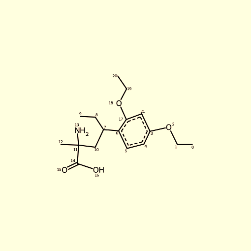 CCOc1ccc(C(CC)CC(C)(N)C(=O)O)c(OCC)c1